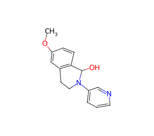 COc1ccc2c(c1)CCN(c1cccnc1)C2O